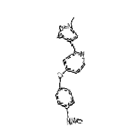 CNc1ccc(Oc2ccnc(-c3cnn(C)c3)c2)cc1